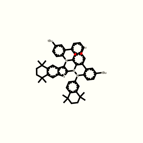 CC(C)(C)c1ccc2c(c1)-c1cc(C(C)(C)C)cc3c1B(c1sc4cc5c(cc4c1N3c1ccc(C(C)(C)C)cc1-c1ccccc1)C(C)(C)CCC5(C)C)N2c1ccc2c(c1)C(C)(C)CCC2(C)C